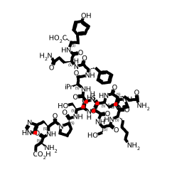 CC(C)[C@H](NC(=O)[C@H](C)NC(=O)[C@H](Cc1c[nH]cn1)NC(=O)[C@H](CCC(N)=O)NC(=O)[C@H](CCCCN)NC(=O)[C@H](CO)NC(=O)[C@H](CS)NC(=O)[C@H](CO)NC(=O)[C@@H]1CCCN1C(=O)[C@H](Cc1c[nH]cn1)NC(=O)[C@@H](N)CC(=O)O)C(=O)N[C@@H](Cc1ccccc1)C(=O)N[C@@H](CCC(N)=O)C(=O)N[C@@H](Cc1ccc(O)cc1)C(=O)O